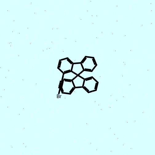 BrC#Cc1cccc2c1C1(c3ccccc3-c3ccccc31)c1ccccc1-2